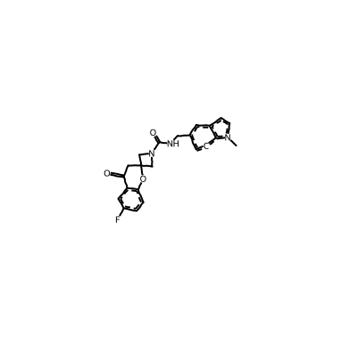 Cn1ccc2cc(CNC(=O)N3CC4(CC(=O)c5cc(F)ccc5O4)C3)ccc21